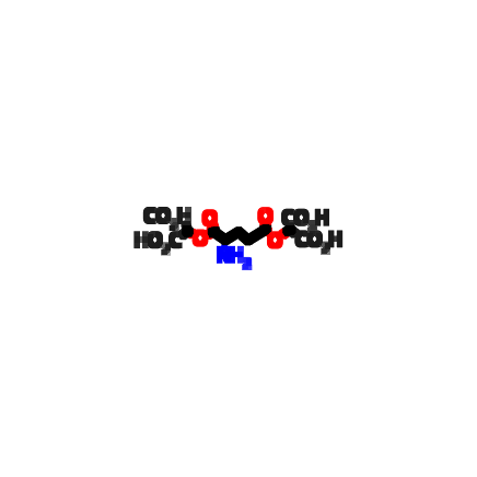 N[C@@H](CCC(=O)OC(C(=O)O)C(=O)O)C(=O)OC(C(=O)O)C(=O)O